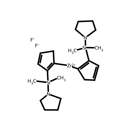 C[Si](C)(C1=[C]([Zr+2][C]2=C([Si](C)(C)N3CCCC3)C=CC2)CC=C1)N1CCCC1.[F-].[F-]